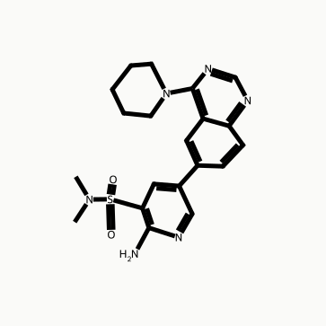 CN(C)S(=O)(=O)c1cc(-c2ccc3ncnc(N4CCCCC4)c3c2)cnc1N